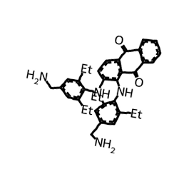 CCc1cc(CN)cc(CC)c1Nc1ccc2c(c1Nc1c(CC)cc(CN)cc1CC)C(=O)c1ccccc1C2=O